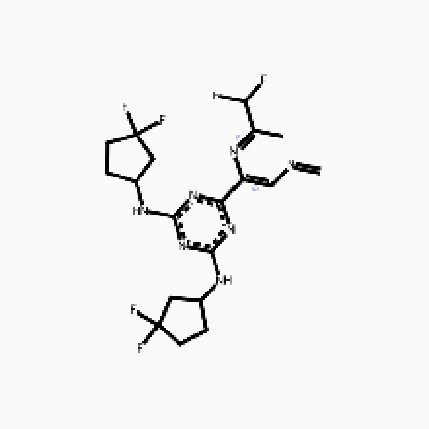 C=N/C=C(\N=C(/C)C(F)F)c1nc(NC2CCC(F)(F)C2)nc(NC2CCC(F)(F)C2)n1